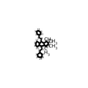 Cc1c(C)c(C)c2c(CCc3ccccc3)c3ccccc3c(CCc3ccccc3)c2c1C